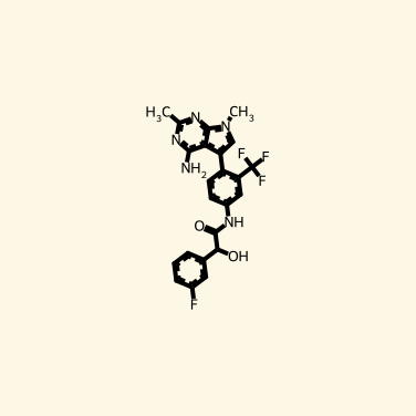 Cc1nc(N)c2c(-c3ccc(NC(=O)C(O)c4cccc(F)c4)cc3C(F)(F)F)cn(C)c2n1